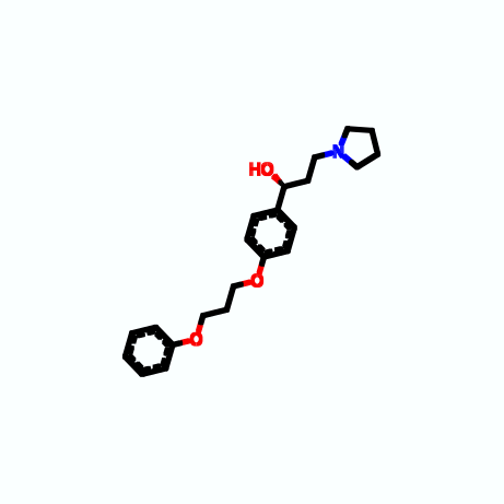 O[C@@H](CCN1CCCC1)c1ccc(OCCCOc2ccccc2)cc1